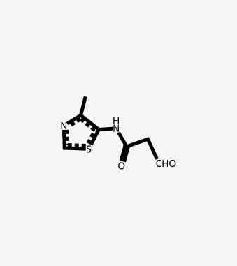 Cc1ncsc1NC(=O)CC=O